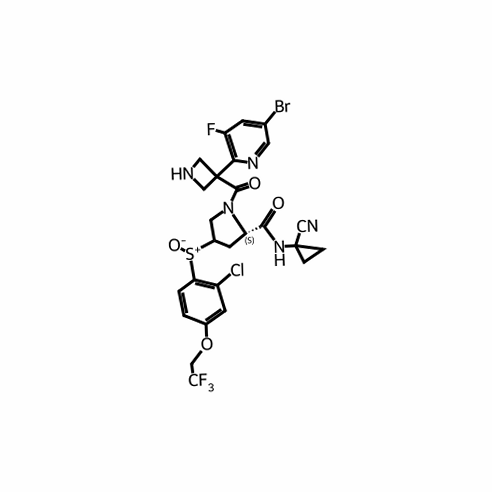 N#CC1(NC(=O)[C@@H]2CC([S+]([O-])c3ccc(OCC(F)(F)F)cc3Cl)CN2C(=O)C2(c3ncc(Br)cc3F)CNC2)CC1